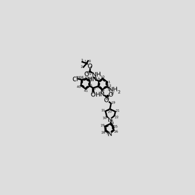 CC(C)(C)OC(=O)NNc1ccc(N)c(NC(=O)OCC2CCN(c3ccncc3)CC2)c1C(=O)c1ccc(Cl)cc1